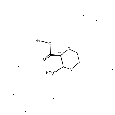 CC(C)(C)OC(=O)[C@H]1OCCNC1C(=O)O